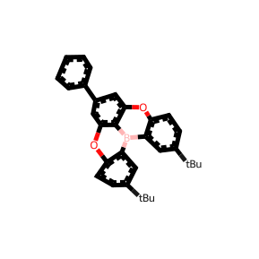 CC(C)(C)c1ccc2c(c1)B1c3cc(C(C)(C)C)ccc3Oc3cc(-c4ccccc4)cc(c31)O2